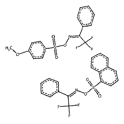 COc1ccc(S(=O)(=O)ON=C(c2ccccc2)C(F)(F)F)cc1.O=S(=O)(ON=C(c1ccccc1)C(F)(F)F)c1cccc2ccccc12